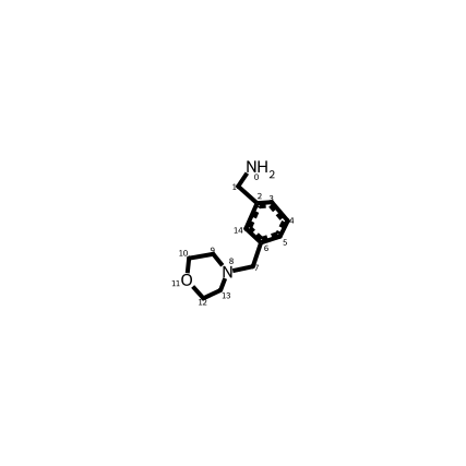 NCc1cccc(CN2CCOCC2)c1